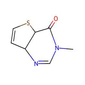 CN1C=NC2C=CSC2C1=O